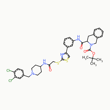 CC(C)(C)OC(=O)N1Cc2ccccc2CC1C(=O)Nc1cccc(-c2csc(SCC(=O)NC3CCN(Cc4ccc(Cl)c(Cl)c4)CC3)n2)c1